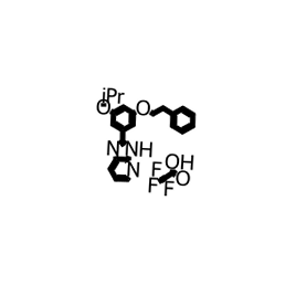 CC(C)Oc1cc(OCCc2ccccc2)cc(-c2nc3cccnc3[nH]2)c1.O=C(O)C(F)(F)F